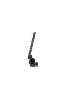 CCCCCCCCCCCCCCCCCCc1ccc(C(=O)C=C(C)C(=O)O)cc1